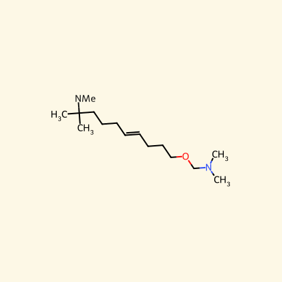 CNC(C)(C)CCCC=CCCCOCN(C)C